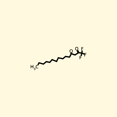 CCCCCCCCCCCC(=O)CC(=O)C(F)(F)F